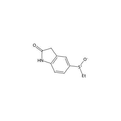 CC[S+]([O-])c1ccc2c(c1)CC(=O)N2